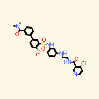 COc1ccc(-c2cccc(C(=O)N(C)C)c2)cc1S(=O)(=O)Nc1cccc(NCCNC(=O)c2cnccc2Cl)c1